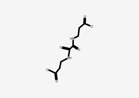 O=C(Cl)CCNC(=O)C(=O)NCCC(=O)Cl